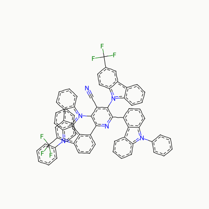 N#Cc1c(-n2c3ccccc3c3cc(C(F)(F)F)ccc32)c(-c2cccc3c2c2ccccc2n3-c2ccccc2)nc(-c2cccc3c2c2ccccc2n3-c2ccccc2)c1-n1c2ccccc2c2cc(C(F)(F)F)ccc21